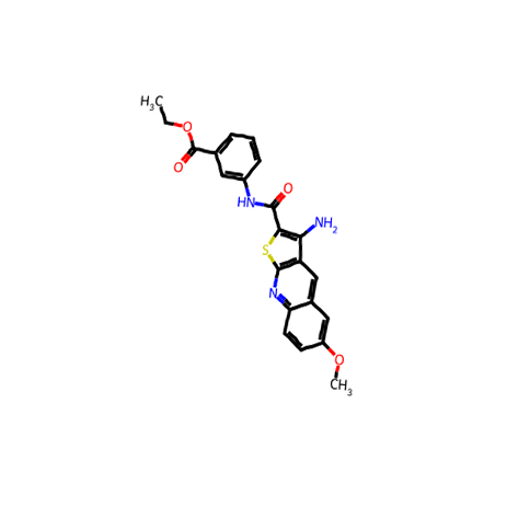 CCOC(=O)c1cccc(NC(=O)c2sc3nc4ccc(OC)cc4cc3c2N)c1